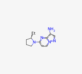 CC[C@@H]1CCCN1c1ccn2ncc(N)c2n1